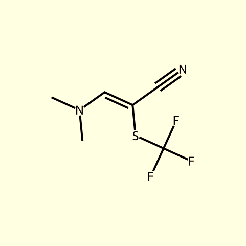 CN(C)/C=C(/C#N)SC(F)(F)F